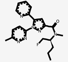 CCC[C@@H](CF)N(C)C(=O)c1cc(-c2ccccn2)n(-c2ccc(C)nn2)n1